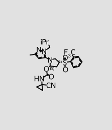 Cc1cc(N2C[C@H](S(=O)(=O)c3ccccc3C(F)(F)F)C[C@@H]2OC(=O)NC2(C#N)CC2)n(CC(C)C)n1